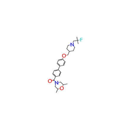 CC1CN(C(=O)c2ccc(-c3ccc(OCC4CCN(CC(C)(C)F)CC4)cc3)cc2)CC(C)O1